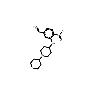 C=Cc1ccc([N+](=O)[O-])c(NC2CCN(C3CCOCC3)CC2)c1